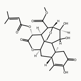 COC(=O)C1[C@H]2OC[C@]34C([C@@H](O)[C@@H]2O)[C@@]2(C)CC(=O)C(O)=C(C)[C@@H]2C[C@H]3OC(=O)[C@H](OC(=O)C=C(C)C)[C@@H]14